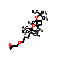 CCC(C)(O[Si]1(C)CCC1(C)O[Si](C)(C)C)[Si](C)(C)CCCOCC1CO1